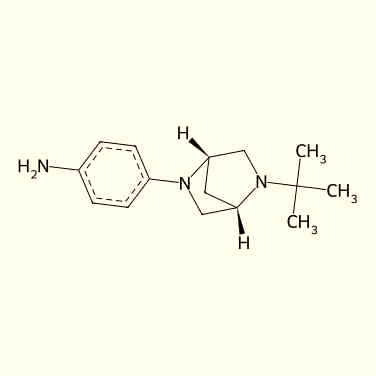 CC(C)(C)N1C[C@@H]2C[C@H]1CN2c1ccc(N)cc1